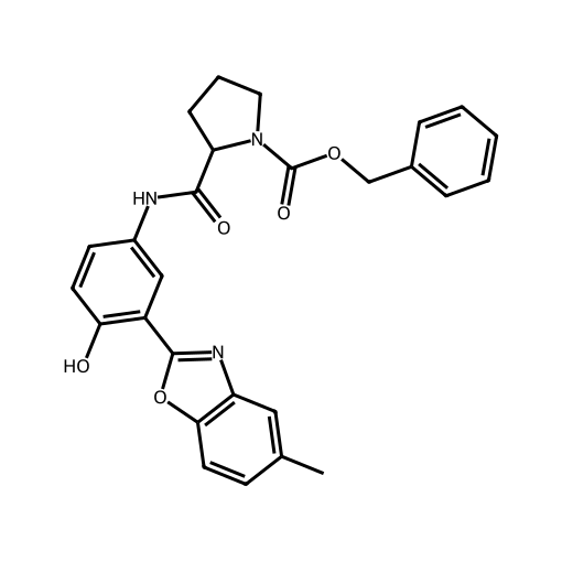 Cc1ccc2oc(-c3cc(NC(=O)C4CCCN4C(=O)OCc4ccccc4)ccc3O)nc2c1